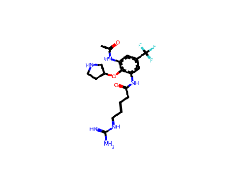 CC(=O)Nc1cc(C(F)(F)F)cc(NC(=O)CCCCNC(=N)N)c1OC1CCNC1